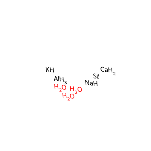 O.O.O.[AlH3].[CaH2].[KH].[NaH].[Si]